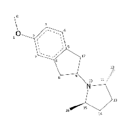 COc1ccc2c(c1)CC(N1[C@H](C)CC[C@H]1C)C2